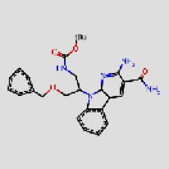 CC(C)(C)OC(=O)NCC(COCc1ccccc1)N1c2ccccc2C2C=C(C(N)=O)C(N)=NC21